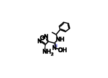 CC(N/C(=N\O)c1nonc1N)c1ccccc1